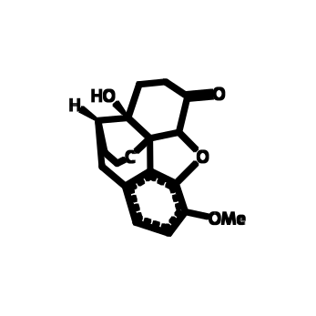 COc1ccc2c3c1OC1C(=O)CC[C@@]4(O)[C@H](CCCC314)C2